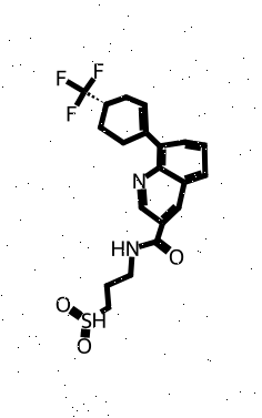 O=C(NCCC[SH](=O)=O)c1cnc2c(C3=CC[C@@H](C(F)(F)F)CC3)cccc2c1